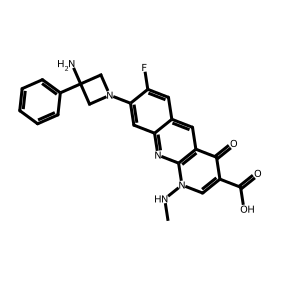 CNn1cc(C(=O)O)c(=O)c2cc3cc(F)c(N4CC(N)(c5ccccc5)C4)cc3nc21